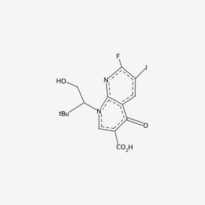 CC(C)(C)C(CO)n1cc(C(=O)O)c(=O)c2cc(I)c(F)nc21